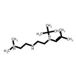 CC(C)=C[SiH](CCNCC[SiH](C)C)C(C)(C)C